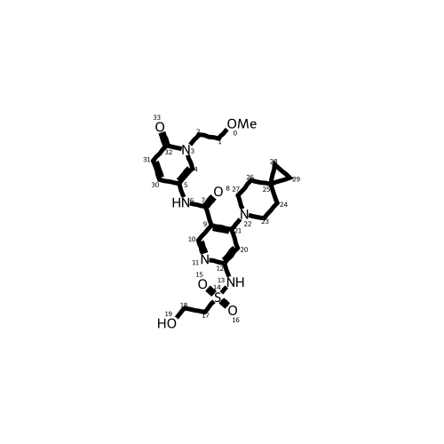 COCCn1cc(NC(=O)c2cnc(NS(=O)(=O)CCO)cc2N2CCC3(CC2)CC3)ccc1=O